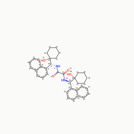 O=C(N[C@H](c1cccc2ccccc12)C1(O)CCCCC1)C(=O)N[C@H](c1cccc2ccccc12)C1(O)CCCCC1